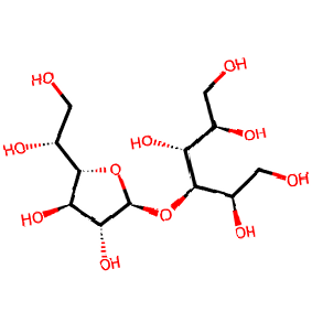 OC[C@@H](O)[C@@H](O)[C@H](O[C@@H]1O[C@@H]([C@H](O)CO)[C@H](O)[C@H]1O)[C@H](O)CO